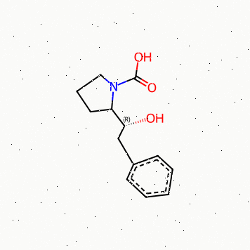 O=C(O)N1CCCC1[C@H](O)Cc1ccccc1